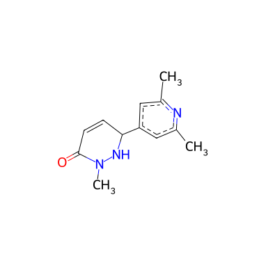 Cc1cc(C2C=CC(=O)N(C)N2)cc(C)n1